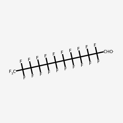 O=[C]C(F)(F)C(F)(F)C(F)(F)C(F)(F)C(F)(F)C(F)(F)C(F)(F)C(F)(F)C(F)(F)C(F)(F)C(F)(F)F